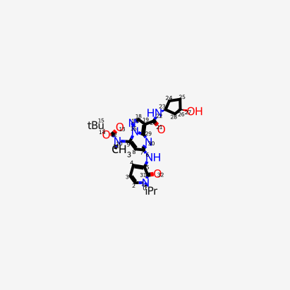 CC(C)n1cccc(Nc2cc(N(C)C(=O)OC(C)(C)C)n3ncc(C(=O)N[C@H]4CC[C@@H](O)C4)c3n2)c1=O